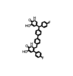 O=c1[nH]cc(C(c2ccc(F)cc2)c2ccc(-c3ccc(Cc4[nH]c(=O)c(O)cc4-c4ccc(F)cc4)cc3)cc2)cc1O